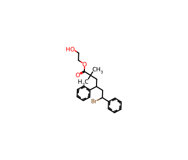 CC(C)(CC(CC(Br)c1ccccc1)c1ccccc1)C(=O)OCCO